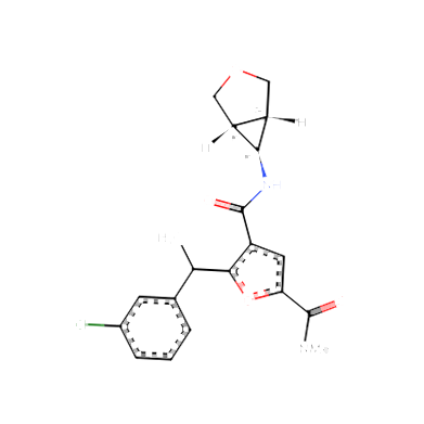 CNC(=O)c1cc(C(=O)N[C@H]2[C@@H]3COC[C@@H]32)c(C(C)c2cccc(Cl)c2)o1